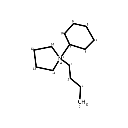 CCCC[N+]1(C2CCCCC2)CCCC1